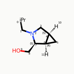 CC(C)CN1C[C@H]2C[C@H]2[C@H]1CO